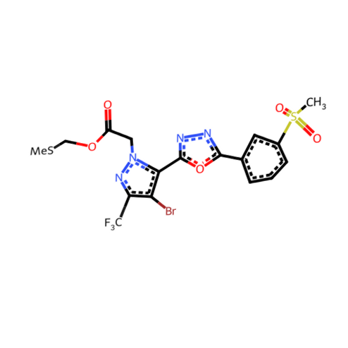 CSCOC(=O)Cn1nc(C(F)(F)F)c(Br)c1-c1nnc(-c2cccc(S(C)(=O)=O)c2)o1